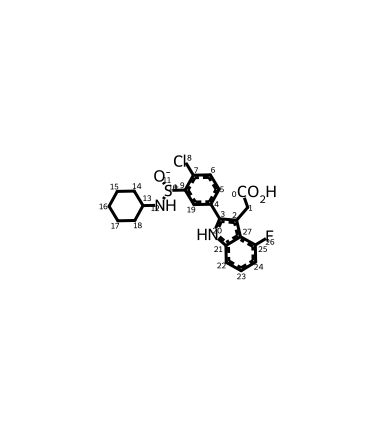 O=C(O)Cc1c(-c2ccc(Cl)c([S+]([O-])NC3CCCCC3)c2)[nH]c2cccc(F)c12